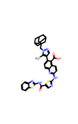 Cc1c(-c2ccc3nc(Nc4ncc(C(=O)Nc5nc6ccccc6s5)s4)ccc3c2C(=O)O)cnn1CC12CC3CC(CC(C3)C1)C2